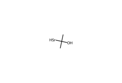 C[C](C)(O)[SrH]